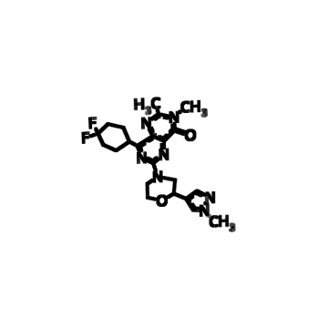 Cc1nc2c(C3CCC(F)(F)CC3)nc(N3CCOC(c4cnn(C)c4)C3)nc2c(=O)n1C